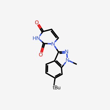 Cn1nc(-n2ccc(=O)[nH]c2=O)c2ccc(C(C)(C)C)cc21